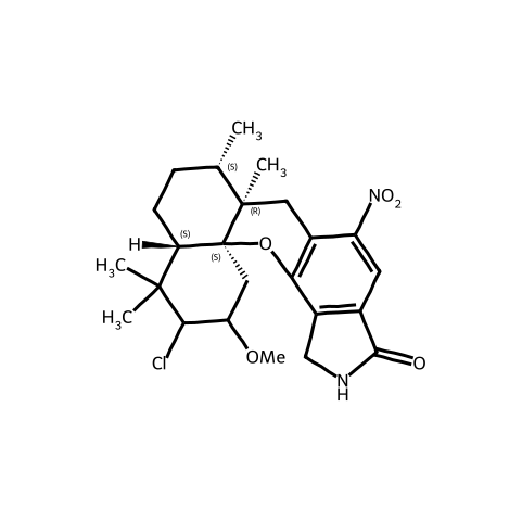 COC1C[C@@]23Oc4c5c(cc([N+](=O)[O-])c4C[C@]2(C)[C@@H](C)CC[C@H]3C(C)(C)C1Cl)C(=O)NC5